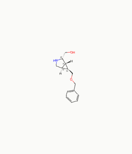 OC[C@H]1NC[C@@H]2[C@H](COCc3ccccc3)[C@H]21